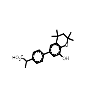 CC(C(=O)O)c1ccc(-c2cc(O)c3c(c2)C(C)(C)CC(C)(C)O3)cc1